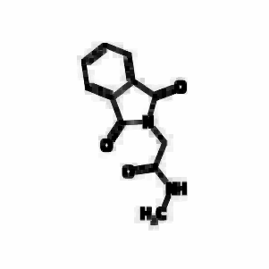 CNC(=O)CN1C(=O)c2ccccc2C1=O